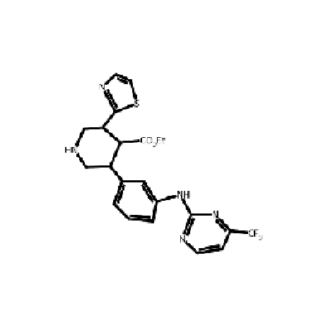 CCOC(=O)C1C(c2cccc(Nc3nccc(C(F)(F)F)n3)c2)CNCC1c1nccs1